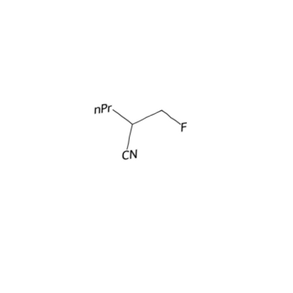 [CH2]CCC(C#N)CF